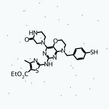 CCOC(=O)c1sc(Nc2nc(N3CCNC(=O)C3)c3c(n2)N(Cc2ccc(S)cc2)CCO3)nc1C